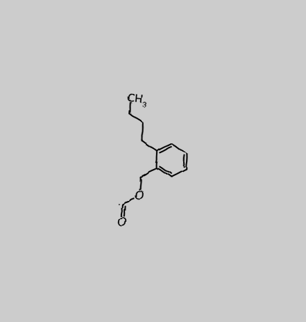 CCCCc1ccccc1CO[C]=O